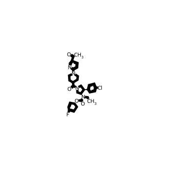 CCN(C(=O)OC1C=CC(F)=CC1)[C@@H]1CN(C(=O)C2CCN(c3ccc(C(C)=O)cn3)CC2)C[C@H]1c1ccc(Cl)cc1